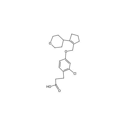 O=C(O)CCc1ccc(OCC2=C(C3CCOCC3)CCC2)cc1Cl